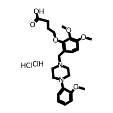 COc1ccccc1N1CCN(Cc2ccc(OC)c(OC)c2OCCCC(=O)O)CC1.Cl.Cl